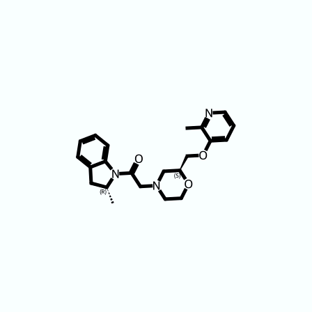 Cc1ncccc1OC[C@@H]1CN(CC(=O)N2c3ccccc3C[C@H]2C)CCO1